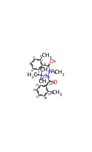 Cc1ccccc1C(=O)N(C)N(C(=O)c1ccccc1C)C(C)(C)C